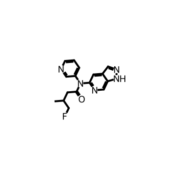 CC(CF)CC(=O)N(c1cccnc1)c1cc2cn[nH]c2cn1